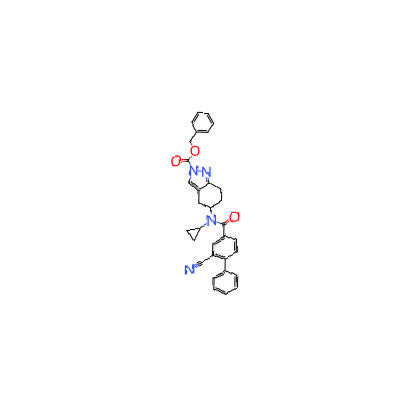 N#Cc1cc(C(=O)N(C2CC2)C2CCc3nn(C(=O)OCc4ccccc4)cc3C2)ccc1-c1ccccc1